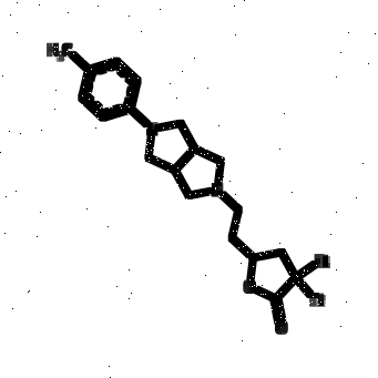 CCC1(CC)CC(CCN2CC3CN(c4ccc(C)cc4)CC3C2)OC1=O